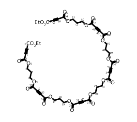 CCOC(=O)C#CC(=O)OCCCOC(=O)C#CC(=O)OCCCOC(=O)C#CC(=O)OCCCOC(=O)C#CC(=O)OCCCOC(=O)C#CC(=O)OCCCOC(=O)C#CC(=O)OCC